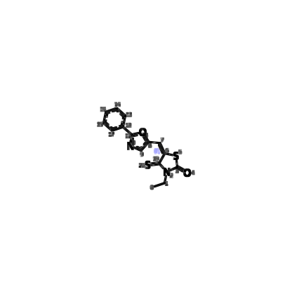 CCN1C(=O)S/C(=C/c2cnc(-c3ccccc3)o2)C1=S